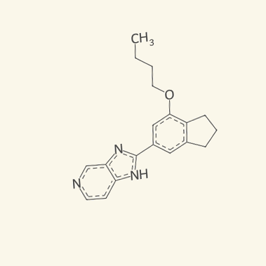 CCCCOc1cc(-c2nc3cnccc3[nH]2)cc2c1CCC2